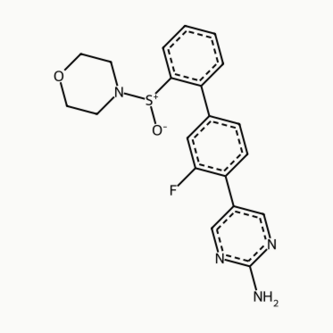 Nc1ncc(-c2ccc(-c3ccccc3[S+]([O-])N3CCOCC3)cc2F)cn1